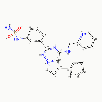 NS(=O)(=O)Nc1cccc(-c2nc(NCc3ccccn3)c3c(-c4ccccc4)ccn3n2)c1